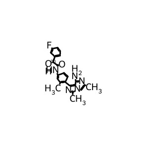 Cc1cn2c(C)nc(-c3ccc(NC(=O)[C@@H](O)c4cccc(F)c4)cc3C)c2c(N)n1